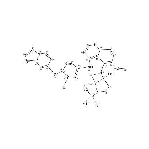 [2H]C([2H])([2H])N1CC[C@H]2[C@@H]1CN2c1c(OC)ccc2ncnc(Nc3ccc(Oc4cc5ncnn5cn4)c(C)c3)c12